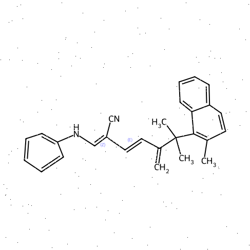 C=C(/C=C/C(C#N)=C/Nc1ccccc1)C(C)(C)c1c(C)ccc2ccccc12